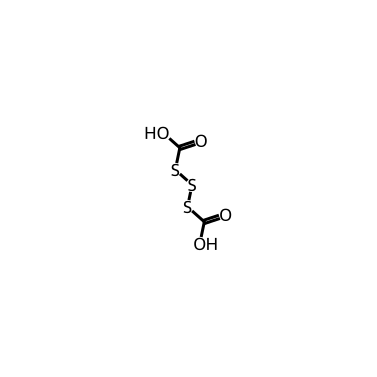 O=C(O)SSSC(=O)O